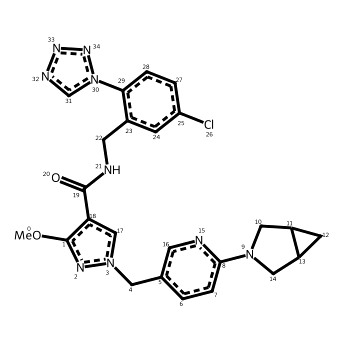 COc1nn(Cc2ccc(N3CC4CC4C3)nc2)cc1C(=O)NCc1cc(Cl)ccc1-n1cnnn1